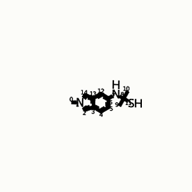 Cn1cc2ccc(NC(C)(C)S)cc2c1